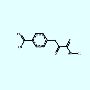 CCNC(=O)C(=O)Cc1ccc(C(=N)N)cc1